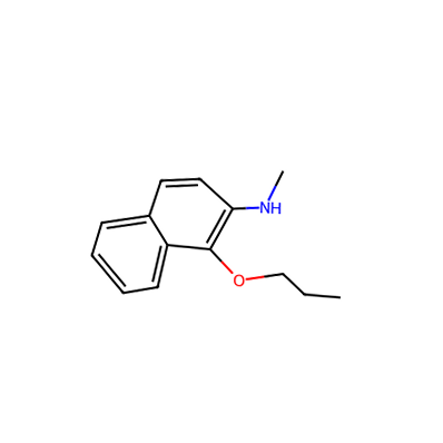 CCCOc1c(NC)ccc2ccccc12